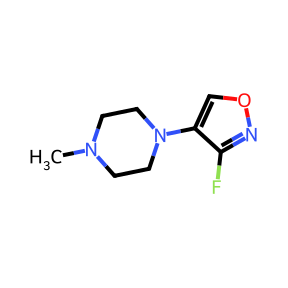 CN1CCN(c2conc2F)CC1